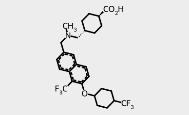 CN(Cc1ccc2c(C(F)(F)F)c(OC3CCC(C(F)(F)F)CC3)ccc2c1)C[C@H]1CC[C@H](C(=O)O)CC1